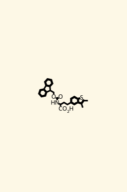 Cc1sc2ccc(CCC(NC(=O)OCC3c4ccccc4-c4ccccc43)C(=O)O)cc2c1C